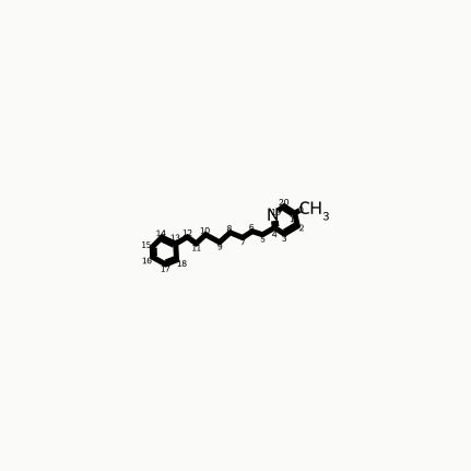 Cc1ccc(CCCCCCCCc2ccccc2)nc1